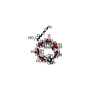 CN[C@H](CSCC1O[C@H]2O[C@@H]3C(CO)O[C@H](O[C@@H]4C(CO)O[C@H](O[C@@H]5C(CO)O[C@H](O[C@@H]6C(CSC[C@@H](CC(=O)CCOCCOCCC(C)=O)C(=O)O)O[C@H](O[C@@H]7C(CO)O[C@@H](O[C@@H]8C(CO)O[C@@H](O[C@H]1[C@H](O)C2O)C(O)[C@H]8O)C(O)[C@H]7O)C(O)[C@H]6O)C(O)[C@H]5O)C(O)[C@H]4O)C(O)[C@H]3O)C(=O)O